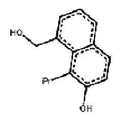 CC(C)c1c(O)ccc2cccc(CO)c12